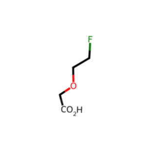 O=C(O)COCCF